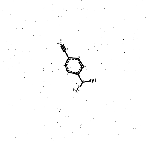 C#Cc1ccc(C(O)C(F)(F)F)cc1